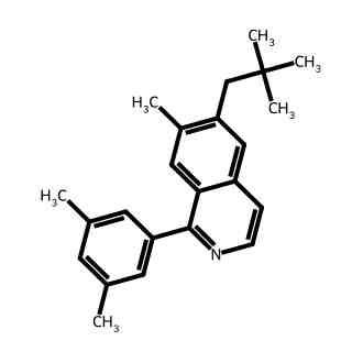 Cc1cc(C)cc(-c2nccc3cc(CC(C)(C)C)c(C)cc23)c1